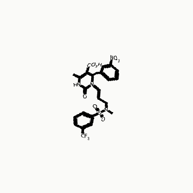 CC1=C(C(=O)O)C(c2cccc([N+](=O)[O-])c2)N(CCCN(C)S(=O)(=O)c2cccc(C(F)(F)F)c2)C(=O)N1